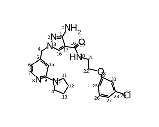 Nc1nn(Cc2ccnc(N3CCCC3)c2)cc1C(=O)NCCOc1cccc(Cl)c1